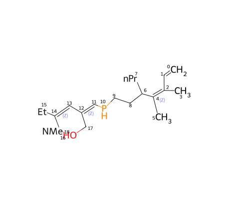 C=C/C(C)=C(/C)C(CCC)CCP/C=C(/C=C(/CC)NC)CO